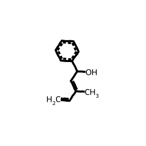 C=C/C(C)=C/C(O)c1ccccc1